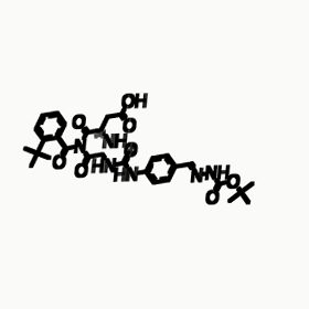 CC(C)(C)OC(=O)NN=Cc1ccc(NC(=O)NCC(=O)N(C(=O)c2ccccc2C(C)(C)C)C(=O)[C@@H](N)CC(=O)O)cc1